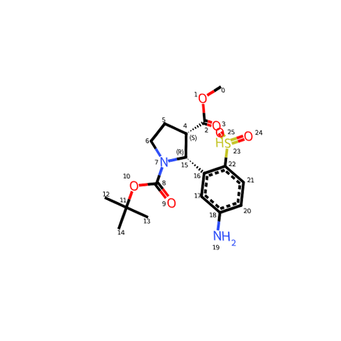 COC(=O)[C@H]1CCN(C(=O)OC(C)(C)C)[C@H]1c1cc(N)ccc1[SH](=O)=O